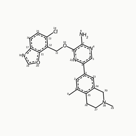 Cc1cc(-c2cnc(N)c(OCc3c(Cl)ccc4ncoc34)n2)cc2c1CCN(C)C2